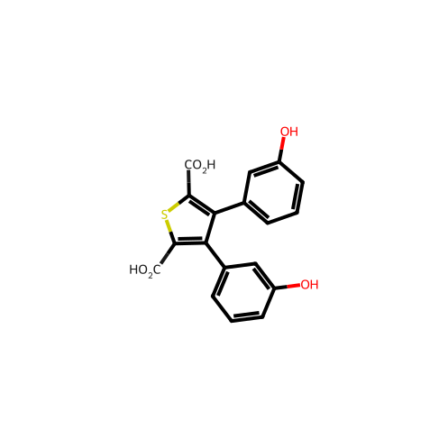 O=C(O)c1sc(C(=O)O)c(-c2cccc(O)c2)c1-c1cccc(O)c1